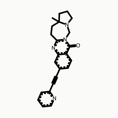 CC12CCCN1Cn1c(nc3cc(C#Cc4ccccn4)ccc3c1=O)CC2